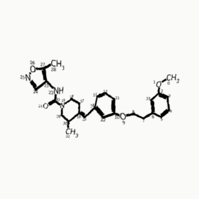 COc1cccc(CCOc2cccc(C=C3CCN(C(=O)Nc4cnoc4C)CC3C)c2)c1